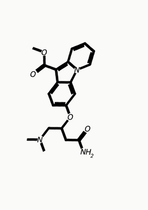 COC(=O)c1c2ccc(OC(CC(N)=O)CN(C)C)cc2n2ccccc12